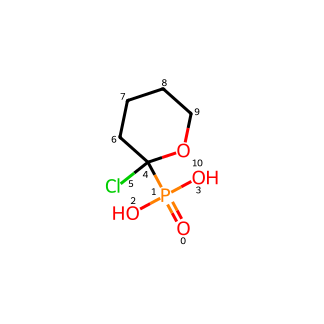 O=P(O)(O)C1(Cl)CCCCO1